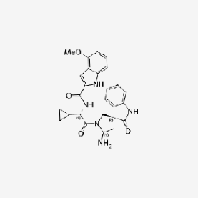 COc1cccc2[nH]c(C(=O)N[C@H](C(=O)N3C[C@]4(C[C@H]3N)C(=O)Nc3ccccc34)C3CC3)cc12